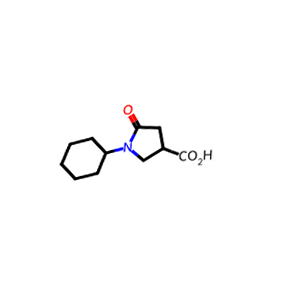 O=C(O)C1CC(=O)N(C2CCCCC2)C1